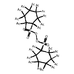 CC(=O)C1(C(C)=O)C(C(C)=O)(C(C)=O)C(C(C)=O)(C(C)=O)C(C(C)=O)(S(=O)(=O)OOS(=O)(=O)C2(C(C)=O)C(C(C)=O)(C(C)=O)C(C(C)=O)(C(C)=O)C(C(C)=O)(C(C)=O)C(C(C)=O)(C(C)=O)C2(C(C)=O)C(C)=O)C(C(C)=O)(C(C)=O)C1(C(C)=O)C(C)=O